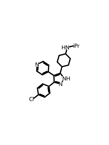 CC(C)NC1CCC(c2[nH]nc(-c3ccc(Cl)cc3)c2-c2ccncc2)CC1